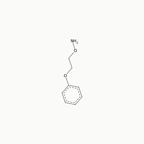 NOCCOc1ccccc1